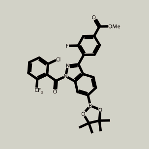 COC(=O)c1ccc(-c2nn(C(=O)c3c(Cl)cccc3C(F)(F)F)c3cc(B4OC(C)(C)C(C)(C)O4)ccc23)c(F)c1